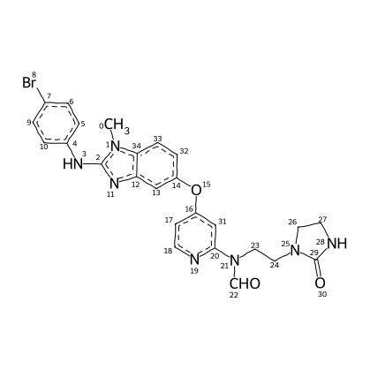 Cn1c(Nc2ccc(Br)cc2)nc2cc(Oc3ccnc(N(C=O)CCN4CCNC4=O)c3)ccc21